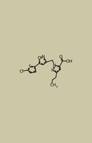 CCCc1cc(C(=O)O)n(Cc2cc(-c3ccc(Cl)s3)on2)n1